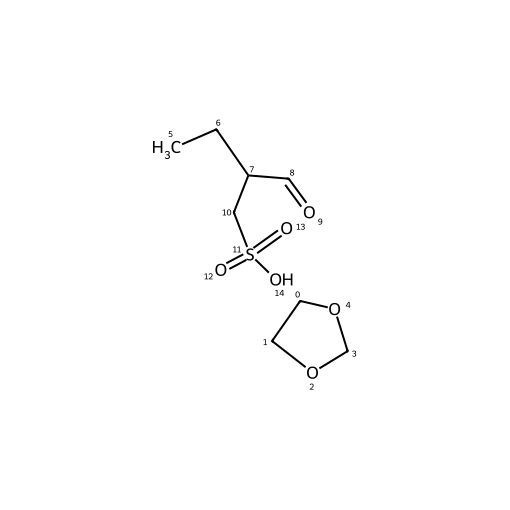 C1COCO1.CCC(C=O)CS(=O)(=O)O